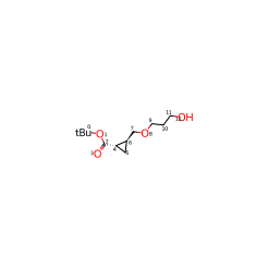 CC(C)(C)OC(=O)[C@H]1C[C@@H]1COCCCO